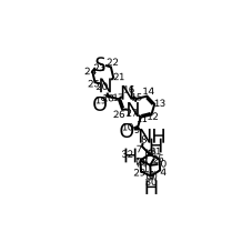 CC1(C)[C@H]2CC[C@@H](CNC(=O)c3cccc4nc(C(=O)N5CCSCC5)cn34)[C@@H]1C2